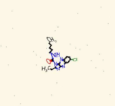 CCCCCCNC(=O)n1c(CC)nc2nc3cc(Cl)ccc3nc21